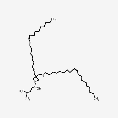 CCCCCCCC/C=C\CCCCCCCCOCC1(CSCCCCCCCC/C=C\CCCCCCCCC)CN([C@H](O)CCN(C)C)C1